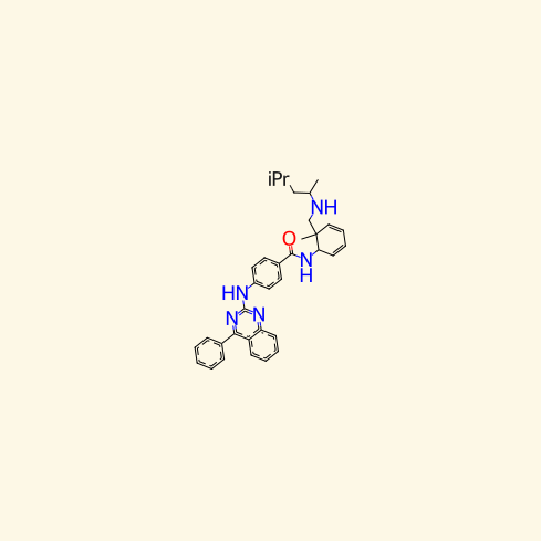 CC(C)CC(C)NCC1(C)C=CC=CC1NC(=O)c1ccc(Nc2nc(-c3ccccc3)c3ccccc3n2)cc1